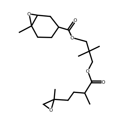 CC(CCC1(C)CO1)C(=O)OCC(C)(C)COC(=O)C1CCC2(C)OC2C1